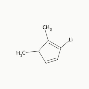 [Li][C]1=C(C)C(C)C=C1